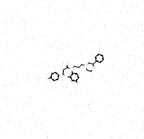 COc1ccc([C@@H]2Sc3cc(Cl)ccc3N(CCCN3CCNC(c4ccccc4)C3)C(=O)[C@@H]2OC(C)=O)cc1